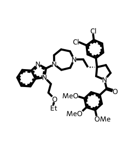 CCOCCn1c(N2CCCN(CC[C@]3(c4ccc(Cl)c(Cl)c4)CCN(C(=O)c4cc(OC)c(OC)c(OC)c4)C3)CC2)nc2ccccc21